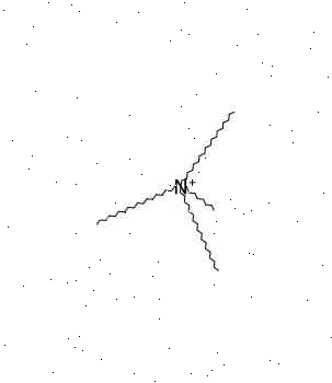 CCCCCCCCCCCCCCCCCC[N+](CCCCCCCC)(CCCCCCCCCCCCCCCCCC)CCCCCCCCCCCCCCCCCC